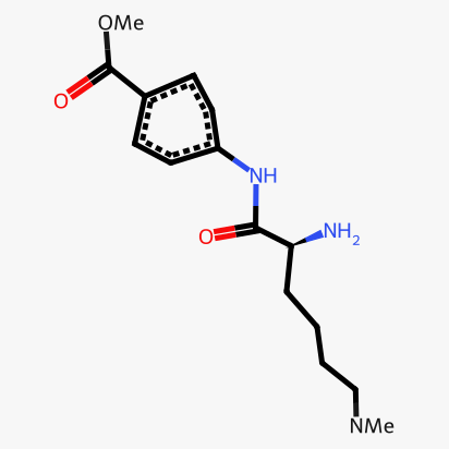 CNCCCC[C@H](N)C(=O)Nc1ccc(C(=O)OC)cc1